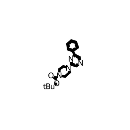 CC(C)(C)OC(=O)N1CCN(c2cncc(-c3ccccc3)n2)CC1